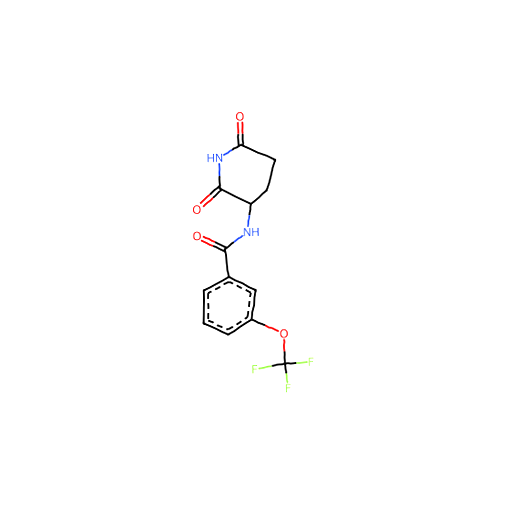 O=C1CCC(NC(=O)c2cccc(OC(F)(F)F)c2)C(=O)N1